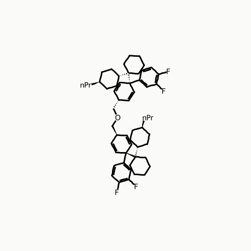 CCC[C@H]1CC[C@H](C2([C@]3(c4ccc(F)c(F)c4)C=C[C@H](COC[C@H]4C=C[C@@](c5ccc(F)c(F)c5)(C5([C@H]6CC[C@H](CCC)CC6)CCCCC5)C=C4)C=C3)CCCCC2)CC1